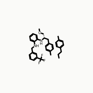 CCCc1ccc(C)cc1.COC[C@H](Cc1ccc(C)cc1)Nc1ccccc1NCc1cccc(C(F)(F)F)c1